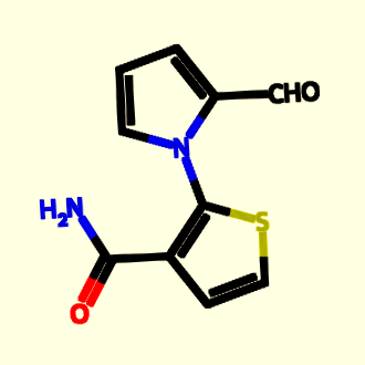 NC(=O)c1ccsc1-n1cccc1C=O